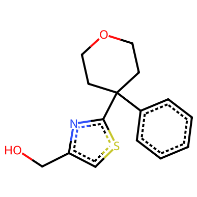 OCc1csc(C2(c3ccccc3)CCOCC2)n1